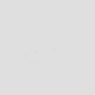 Cn1c(N2CCCCS2(O)O)nc(C(=O)NCCc2ccc(F)cc2)c(O)c1=O